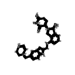 O=C1CCC(N2Cc3c(OCc4cc5cc(CN6CCOCC6)ccc5o4)cccc3C2O)C(=O)N1